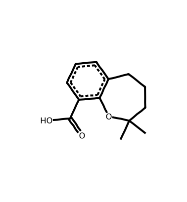 CC1(C)CCCc2cccc(C(=O)O)c2O1